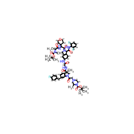 CC1CN(CC(=O)N2C[C@@](C)(C(=O)NCC(=O)Nc3ccc4c(c3)CN(C(=O)C(NC(=O)[C@H](C)N(C)C(=O)OC(C)(C)C)C3CCOCC3)C4C(=O)Nc3c(F)cccc3F)c3ccc(Cc4ccc(F)cc4)cc32)CCN1C(=O)OC(C)(C)C